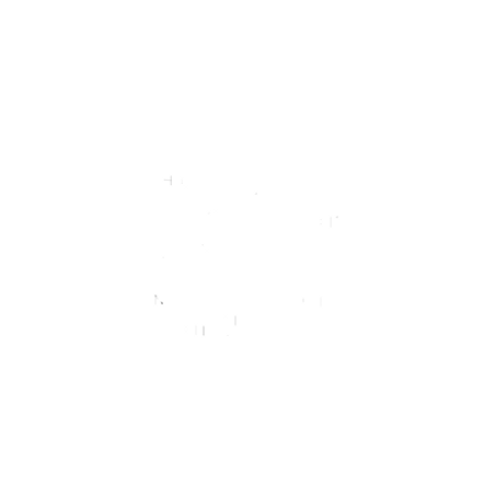 C/N=C\c1c(C)cc(Cl)c(C)c1C